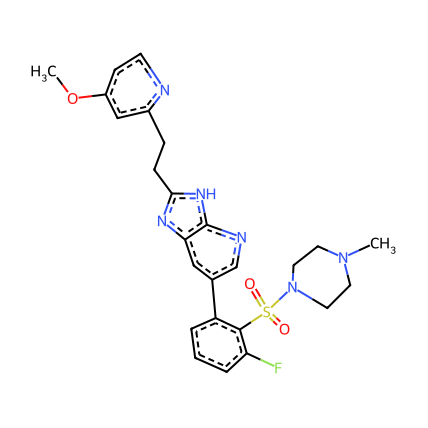 COc1ccnc(CCc2nc3cc(-c4cccc(F)c4S(=O)(=O)N4CCN(C)CC4)cnc3[nH]2)c1